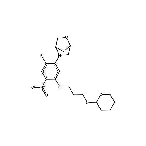 O=[N+]([O-])c1cc(F)c(N2CC3CC2CO3)cc1OCCCOC1CCCCO1